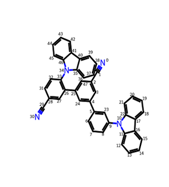 N#Cc1cc(-c2cccc(-n3c4ccccc4c4ccccc43)c2)cc(-c2cc(C#N)ccc2-n2c3ccccc3c3ccccc32)c1